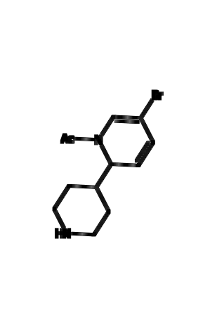 CC(=O)N1C=C(Br)C=CC1C1CCNCC1